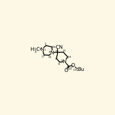 CN1CCN(C2(C#N)CCN(C(=O)OC(C)(C)C)CC2)CC1